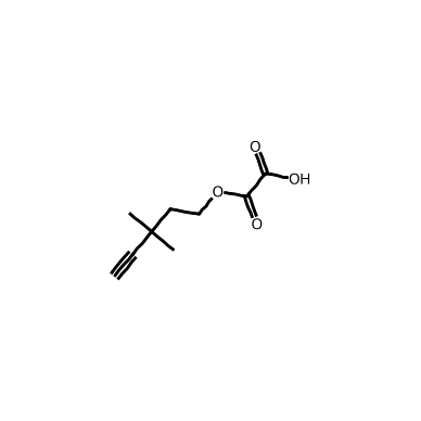 C#CC(C)(C)CCOC(=O)C(=O)O